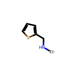 C[CH]NCc1cccs1